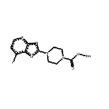 CC(C)(C)OC(=O)N1CCN(c2nc3nccc(Cl)c3o2)CC1